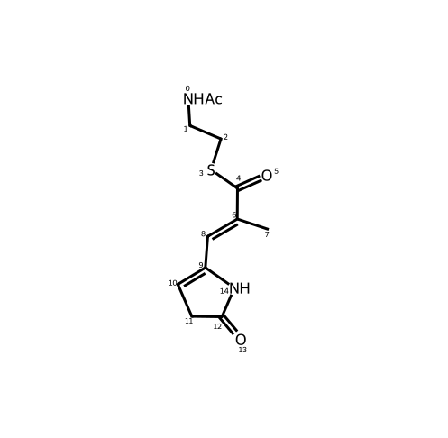 CC(=O)NCCSC(=O)/C(C)=C/C1=CCC(=O)N1